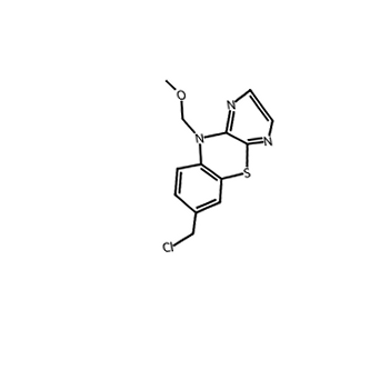 COCN1c2ccc(CCl)cc2Sc2nccnc21